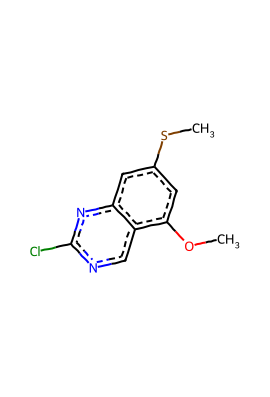 COc1cc(SC)cc2nc(Cl)ncc12